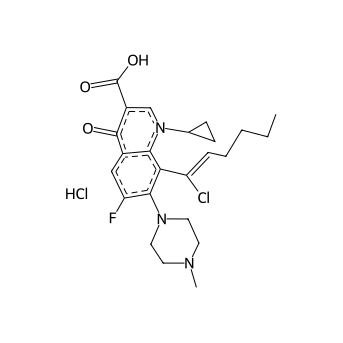 CCCC/C=C(\Cl)c1c(N2CCN(C)CC2)c(F)cc2c(=O)c(C(=O)O)cn(C3CC3)c12.Cl